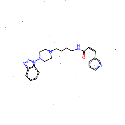 O=C(/C=C\c1cccnc1)NCCCCN1CCN(n2nnc3ccccc32)CC1